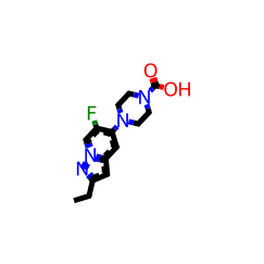 CCc1cc2cc(N3CCN(C(=O)O)CC3)c(F)cn2n1